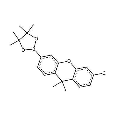 CC1(C)c2ccc(Cl)cc2Oc2cc(B3OC(C)(C)C(C)(C)O3)ccc21